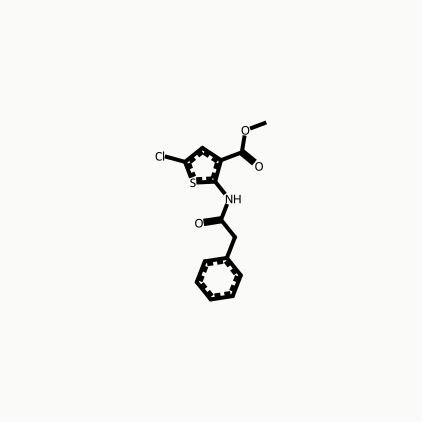 COC(=O)c1cc(Cl)sc1NC(=O)Cc1ccccc1